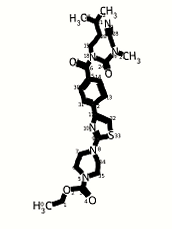 CCOC(=O)N1CCN(c2nc(-c3ccc(C(=O)N(CCC(C)C)C(=O)N(C)C#N)cc3)cs2)CC1